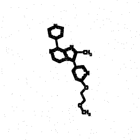 COCCOc1ccc(-c2c(C)nc3c(-c4ccncc4)nccn23)cn1